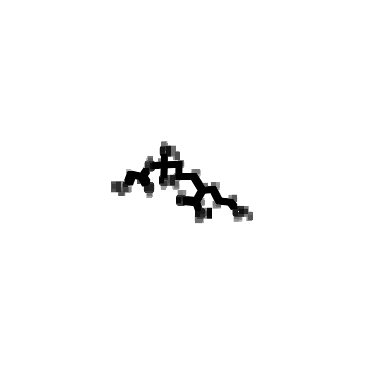 C=CC(=O)OC(C)(C)CCCC(CCCC)C(=O)O